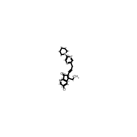 CCC1=C(C#CCc2cnc(N3CCCCC3)cn2)C(=O)c2ncc(Cl)cc21